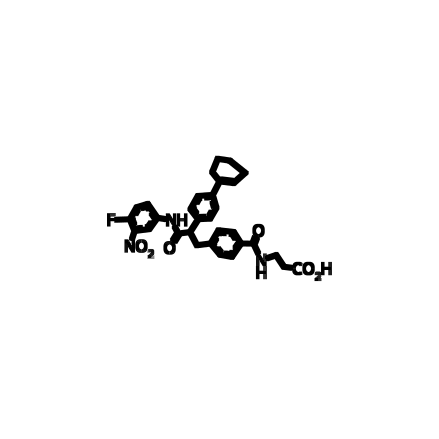 O=C(O)CCNC(=O)c1ccc(CC(C(=O)Nc2ccc(F)c([N+](=O)[O-])c2)c2ccc(C3=CCCCC3)cc2)cc1